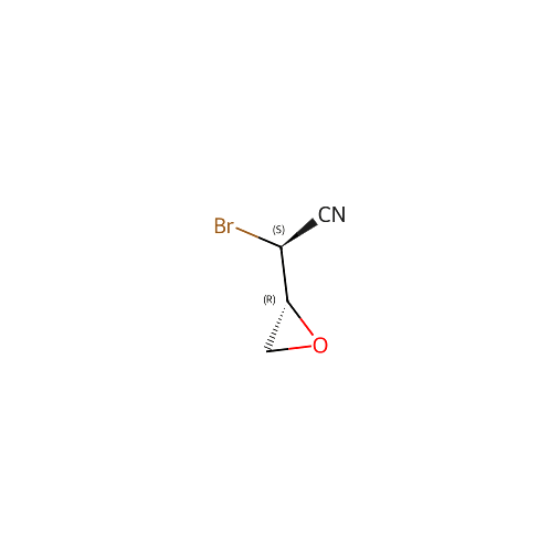 N#C[C@H](Br)[C@H]1CO1